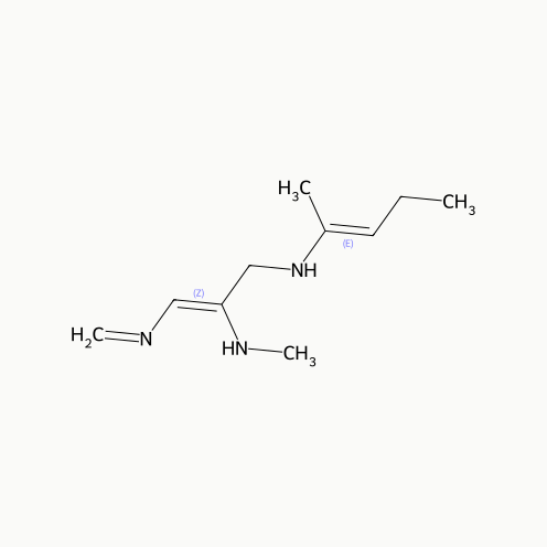 C=N/C=C(/CN/C(C)=C/CC)NC